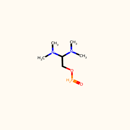 CN(C)C(CO[PH2]=O)N(C)C